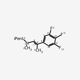 CCCC(C)N(C)/C=C(\C)c1cc(F)c(F)c(F)c1